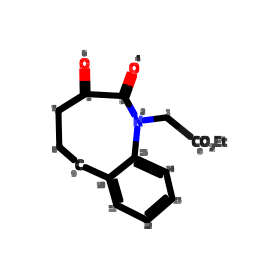 CCOC(=O)CN1C(=O)C(=O)CCCc2ccccc21